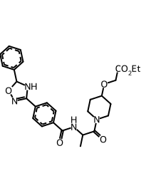 CCOC(=O)COC1CCN(C(=O)C(C)NC(=O)c2ccc(C3=NOC(c4ccccc4)N3)cc2)CC1